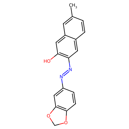 Cc1ccc2cc(/N=N/c3ccc4c(c3)OCO4)c(O)cc2c1